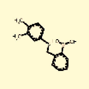 Cc1ccc(SCc2ccccc2B(O)O)cc1C